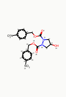 O=C(OCc1ccc([N+](=O)[O-])cc1)N1CC(O)CN1C(=O)OCc1ccc([N+](=O)[O-])cc1